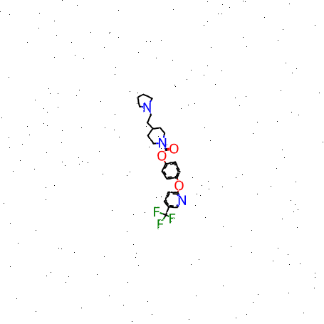 O=C(Oc1ccc(Oc2ccc(C(F)(F)F)cn2)cc1)N1CCC(CCN2CCCC2)CC1